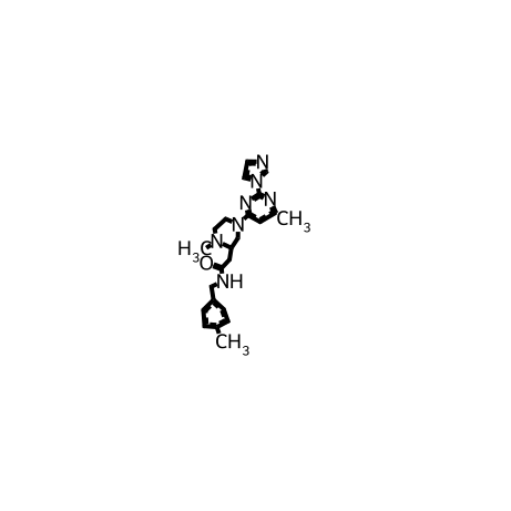 Cc1ccc(CNC(=O)CC2CN(c3cc(C)nc(-n4ccnc4)n3)CCN2C)cc1